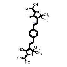 [C-]#[N+]C([N+]#[C-])=C1OC(C)(C)C(/C=C/c2ccc(/C=C/C3=C([N+]#[C-])C(=C(C#N)C#N)OC3(C)C)cc2)=C1C#N